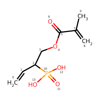 C=CC(COC(=O)C(=C)C)P(=O)(O)O